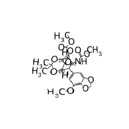 COC(=O)N[C@@H]1C(c2cc(OC)c3c(c2)OCO3)[C@H]2OC(C)(C)O[C@H](C2=O)[C@H]1OC(=O)OC